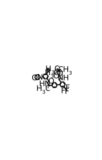 C[C@@H](NC(=O)c1cc(C2CC2)cc(N2CCOCC2)c1)c1ccc(-c2cc(C(F)(F)F)ccc2CNC(=O)OC(C)(C)C)cc1